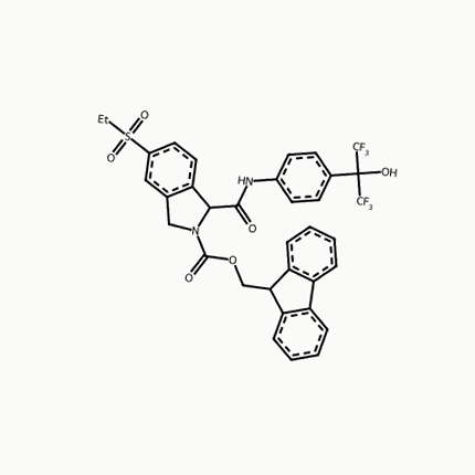 CCS(=O)(=O)c1ccc2c(c1)CN(C(=O)OCC1c3ccccc3-c3ccccc31)C2C(=O)Nc1ccc(C(O)(C(F)(F)F)C(F)(F)F)cc1